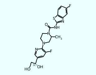 CC1CN(c2ncc([C@H](O)CO)cc2F)CCN1C(=O)Nc1nc2cc(F)ccc2s1